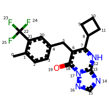 Cc1ccc(Cc2c(C3CCC3)[nH]c3ncnn3c2=O)cc1C(F)(F)F